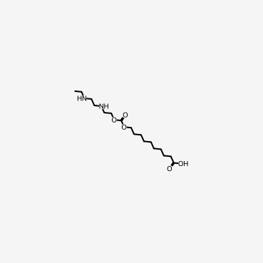 CCNCCNCCOC(=O)OCCCCCCCCCC(=O)O